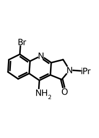 CC(C)N1Cc2nc3c(Br)cccc3c(N)c2C1=O